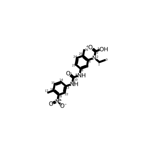 CCN(C(=O)O)c1cc(NC(=O)Nc2ccc(C)c([N+](=O)[O-])c2)ccc1C